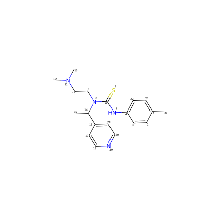 Cc1ccc(NC(=S)N(CCN(C)C)C(C)c2ccncc2)cc1